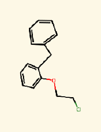 ClCCOc1ccccc1Cc1ccccc1